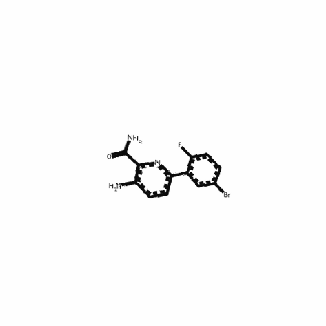 NC(=O)c1nc(-c2cc(Br)ccc2F)ccc1N